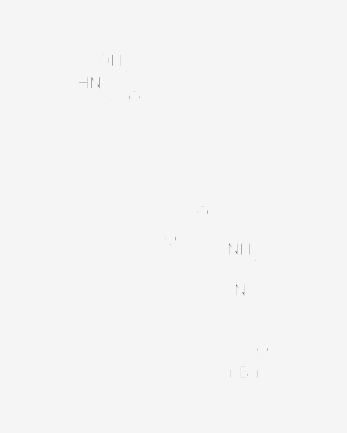 CCCCOc1ccc(CC(N)C(=O)Oc2ccc(CCCC(=O)NO)cc2)nc1